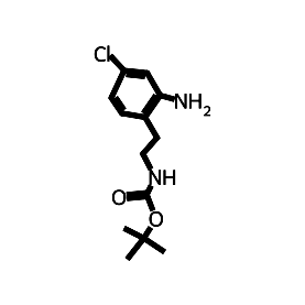 CC(C)(C)OC(=O)NCCc1ccc(Cl)cc1N